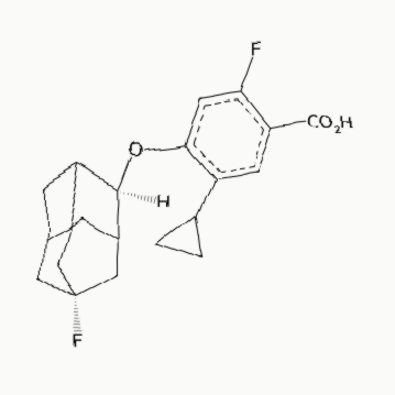 O=C(O)c1cc(C2CC2)c(O[C@H]2C3CC4CC2C[C@](F)(C4)C3)cc1F